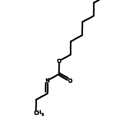 CCC=NC(=O)OCCCCCCO